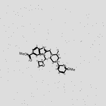 COC(=O)c1ccc2nc(CN3CCN(c4cccc(OC)n4)C[C@@H]3C)n(C[C@@H]3CCO3)c2c1